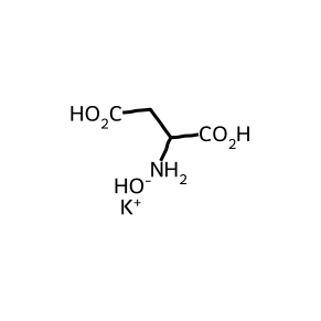 NC(CC(=O)O)C(=O)O.[K+].[OH-]